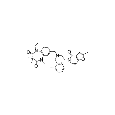 CCN1C(=O)C(C)(C)C(=O)N(C)c2cc(CN(CCn3ccc4oc(C)cc4c3=O)Cc3ncccc3C)ccc21